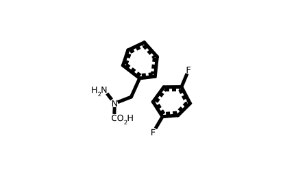 Fc1ccc(F)cc1.NN(Cc1ccccc1)C(=O)O